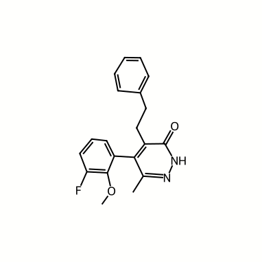 COc1c(F)cccc1-c1c(C)n[nH]c(=O)c1CCc1ccccc1